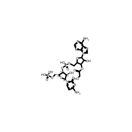 Nc1ccn([C@@H]2O[C@H](COP(=O)(O)O)[C@@H](OP(=O)(O)OCC3OC(n4cnc5c(N)ncnc54)C(O)C3OC(=O)CO)[C@H]2O)c(=O)n1